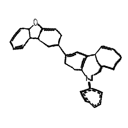 C1=CC2OC3=CCC(C4=CC5=C(CC4)N(c4ccccc4)C4CCC=CC54)CC3C2C=C1